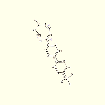 CC1\C=C/C=C(c2ccc(-c3ccc([Si](C)(C)C)cc3)cc2)\C=C\C1